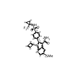 CSc1cnc2c(c1)c(C(N)=O)c(-c1ccc(S(=O)(=O)NC3(C(F)(F)F)CC3)cc1)n2C1=CC=C1